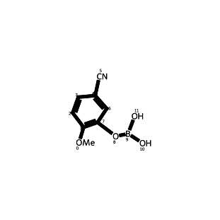 COc1ccc(C#N)cc1OB(O)O